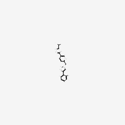 FC(F)c1nnc(-c2ccc(Cn3cc(-c4ccccc4Cl)nn3)nc2)o1